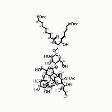 CCCCCCCCCCCCC/C=C/[C@@H](O)[C@H](CO[C@@H]1OC(CO)[C@@H](O[C@@H]2OC(CO)[C@H](O[C@@H]3OC(CO)[C@H](O)[C@H](O)C3O)[C@H](O[C@]3(C(=O)O)CC(O)[C@@H](NC(C)=O)C([C@H](O)[C@H](O)CO)O3)C2O)[C@H](O)C1O)NC(=O)CCCCCCCCCCCCCCCCC